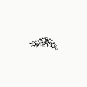 CC1CC2OC34CC5(C)C(CC3OC(O1)C2O4)CC1OC12C5C(O)C(=O)C1(C)C(c3ccc(=O)oc3)CCC12O